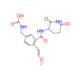 COC=Cc1ccc(CNC(=O)O)cc1C(=O)NC1CCC(=O)NC1=O